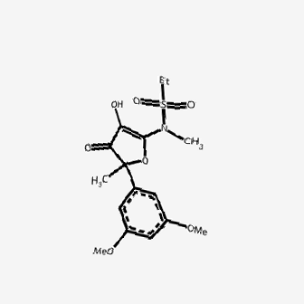 CCS(=O)(=O)N(C)C1=C(O)C(=O)C(C)(c2cc(OC)cc(OC)c2)O1